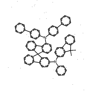 CC1(C)c2ccccc2-c2ccc(N(c3ccccc3)c3ccc4c(c3)C3(c5ccccc5-4)c4ccccc4-c4c(N(c5ccc(-c6ccccc6)cc5)c5ccc(-c6ccccc6)cc5)cccc43)cc21